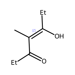 CCC(=O)/C(C)=C(\O)CC